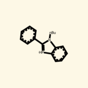 CCCCN1C(c2ccccc2)=[PH]c2ccccc21